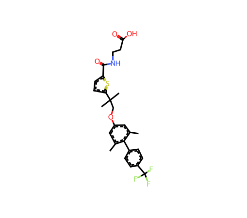 Cc1cc(OCC(C)(C)c2ccc(C(=O)NCCC(=O)O)s2)cc(C)c1-c1ccc(C(F)(F)F)cc1